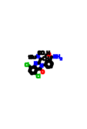 CC(c1nc2c(Cl)ccc(Cl)c2c(=O)n1-c1cccc(C(N)=O)c1)N(C(=O)O)C(C)(C)C